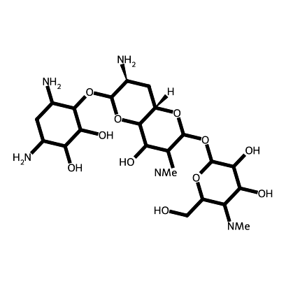 CNC1C(CO)OC(OC2O[C@H]3C[C@H](N)C(OC4C(N)CC(N)C(O)C4O)OC3C(O)C2NC)C(O)C1O